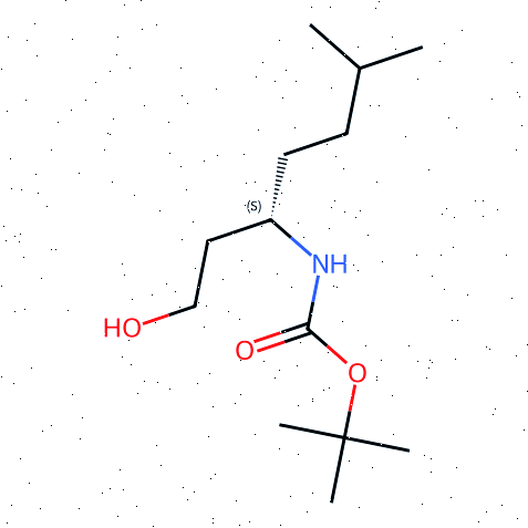 CC(C)CC[C@@H](CCO)NC(=O)OC(C)(C)C